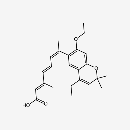 CCOc1cc2c(cc1\C(C)=C/C=C/C(C)=C/C(=O)O)C(CC)=CC(C)(C)O2